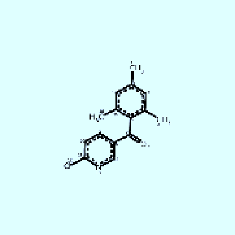 Cc1cc(C)c(C(=O)c2ccc(Cl)nc2)c(C)c1